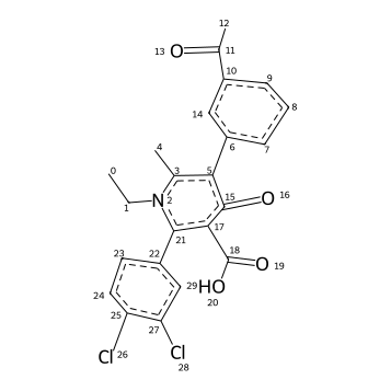 CCn1c(C)c(-c2cccc(C(C)=O)c2)c(=O)c(C(=O)O)c1-c1ccc(Cl)c(Cl)c1